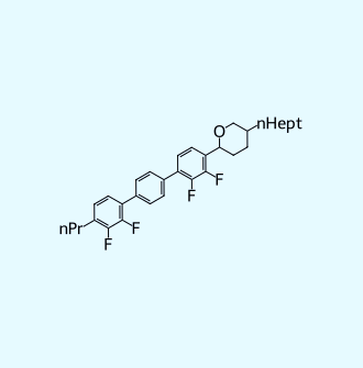 CCCCCCCC1CCC(c2ccc(-c3ccc(-c4ccc(CCC)c(F)c4F)cc3)c(F)c2F)OC1